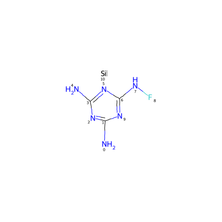 Nc1nc(N)nc(NF)n1.[Si]